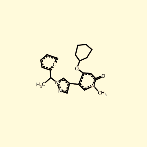 CC(c1ccccc1)n1cc(-c2cn(C)c(=O)cc2OC2CCCCC2)cn1